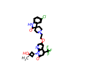 C[C@]1(O)C[C@@H](n2c(=O)cc(C(F)(F)F)c3cc(OCCN4CCC5(CC4)C(=O)Nc4ccc(Cl)cc45)cnc32)C1